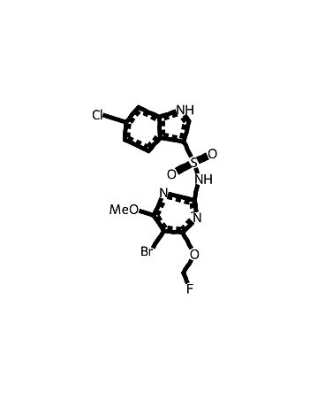 COc1nc(NS(=O)(=O)c2c[nH]c3cc(Cl)ccc23)nc(OCF)c1Br